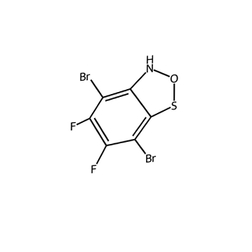 Fc1c(F)c(Br)c2c(c1Br)NOS2